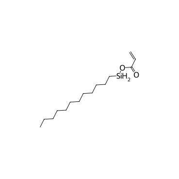 C=CC(=O)O[SiH2]CCCCCCCCCCCC